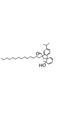 CCCCCCCCCCCCCCC(C)(C=O)CC1(c2ccc(C(C)C)cc2)C=CC=CC1(C)O